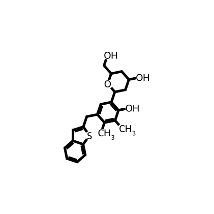 Cc1c(Cc2cc3ccccc3s2)cc(C2CC(O)CC(CO)O2)c(O)c1C